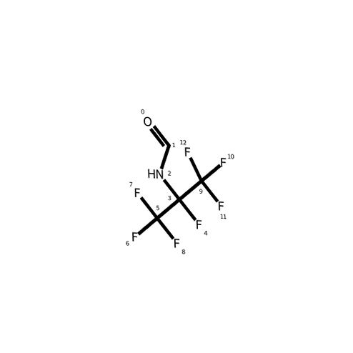 O=[C]NC(F)(C(F)(F)F)C(F)(F)F